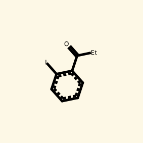 [CH2]CC(=O)c1ccccc1I